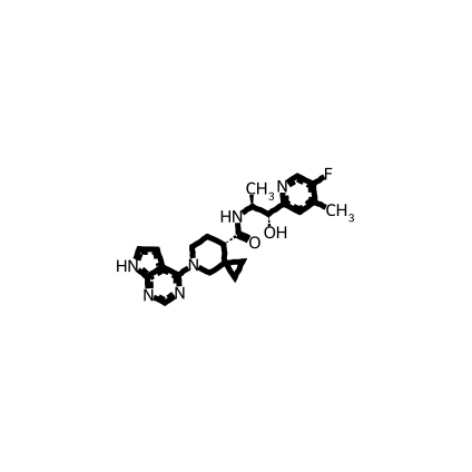 Cc1cc([C@H](O)[C@H](C)NC(=O)[C@H]2CCN(c3ncnc4[nH]ccc34)CC23CC3)ncc1F